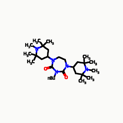 CCCCN1C(=O)N(C2CC(C)(C)N(C)C(C)(C)C2)CCN(C2CC(C)(C)N(C)C(C)(C)C2)C1=O